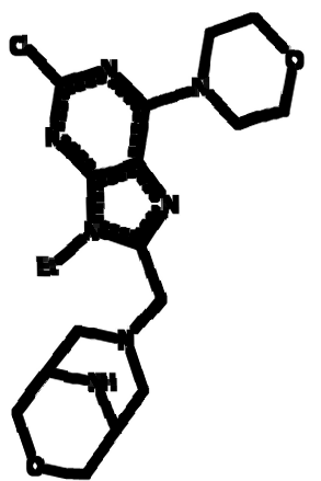 CCn1c(CN2CC3COCC(C2)N3)nc2c(N3CCOCC3)nc(Cl)nc21